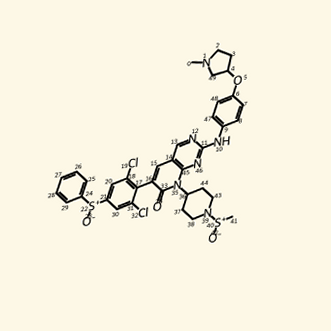 CN1CCC(Oc2ccc(Nc3ncc4cc(-c5c(Cl)cc([S+]([O-])c6ccccc6)cc5Cl)c(=O)n(C5CCN([S+](C)[O-])CC5)c4n3)cc2)C1